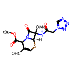 COC1(NC(=O)Cn2cnnn2)C(=O)N2C(C(=O)OC(C)(C)C)C(C=O)=CS[C@@H]21